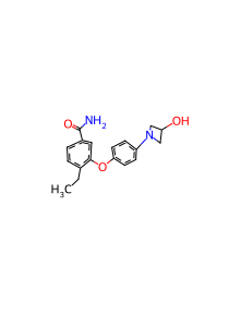 CCc1ccc(C(N)=O)cc1Oc1ccc(N2CC(O)C2)cc1